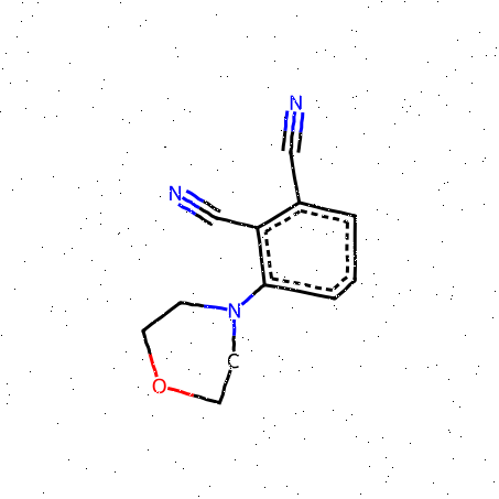 N#Cc1cccc(N2CCOCC2)c1C#N